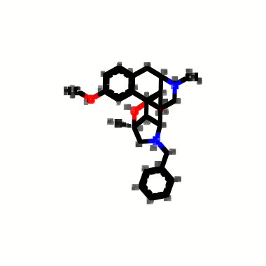 COc1ccc2c(c1)C13CCN(C)C(C2)C12CCC1C3[C@@H](CN1Cc1ccccc1)O2